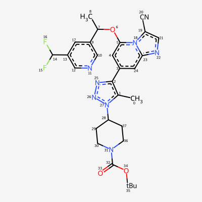 Cc1c(-c2cc(OC(C)c3cncc(C(F)F)c3)n3c(C#N)cnc3c2)nnn1C1CCN(C(=O)OC(C)(C)C)CC1